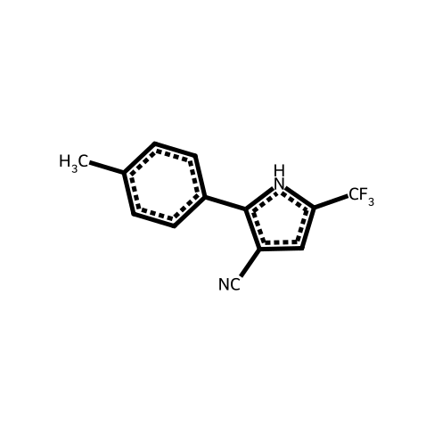 Cc1ccc(-c2[nH]c(C(F)(F)F)cc2C#N)cc1